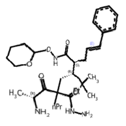 CCCC(C[C@H]([C@H](C/C=C/c1ccccc1)C(=O)NOC1CCCCO1)C(C)(C)CC)(C(=O)NN)C(=O)[C@@H](C)N